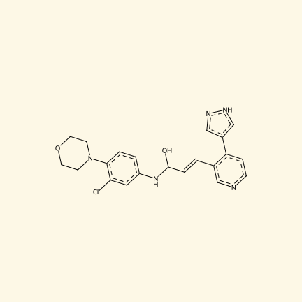 OC(/C=C/c1cnccc1-c1cn[nH]c1)Nc1ccc(N2CCOCC2)c(Cl)c1